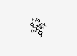 C=C(CC)C1=C(CN2CCCC2)NC(C(C)S/C=C\C)NC1c1ccc(F)cc1